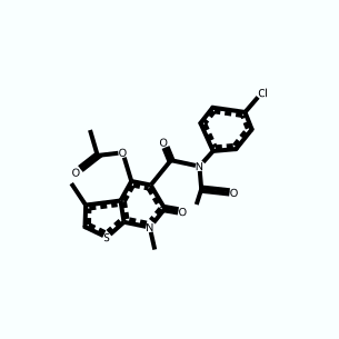 CC(=O)Oc1c(C(=O)N(C(C)=O)c2ccc(Cl)cc2)c(=O)n(C)c2scc(C)c12